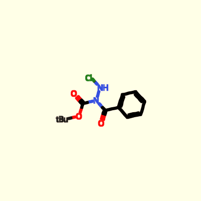 CC(C)(C)OC(=O)N(NCl)C(=O)c1ccccc1